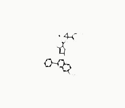 C=C[C@@H]1CC1(NC(=O)C1CC(Oc2cc(-c3ccccc3)nc3cc(OC)ccc23)C=C1C(=O)O)C(=O)OC(C)(C)C